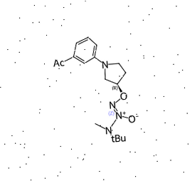 CC(=O)c1cccc(N2CC[C@@H](O/N=[N+](\[O-])N(C)C(C)(C)C)C2)c1